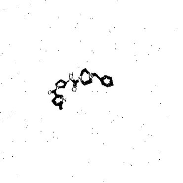 Cc1ccc(C(=O)N2CC[C@@H](NC(=O)N3CCN(Cc4ccccc4)CC3)C2)cn1